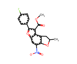 COC(=O)c1c(-c2ccc(F)cc2)oc2cc([N+](=O)[O-])c3c(c12)CC(C)O3